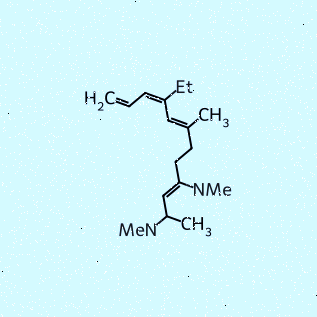 C=C/C=C(\C=C(/C)CC/C(=C/C(C)NC)NC)CC